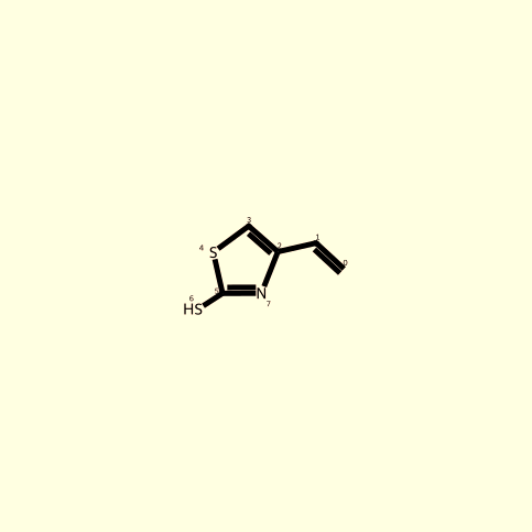 C=Cc1csc(S)n1